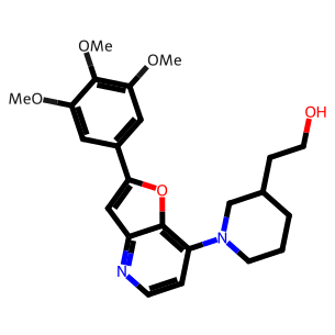 COc1cc(-c2cc3nccc(N4CCCC(CCO)C4)c3o2)cc(OC)c1OC